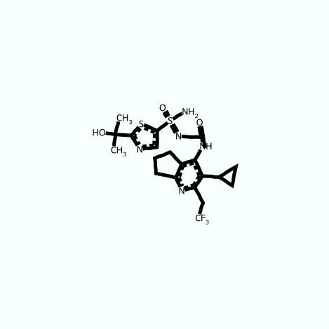 CC(C)(O)c1ncc(S(N)(=O)=NC(=O)Nc2c3c(nc(CC(F)(F)F)c2C2CC2)CCC3)s1